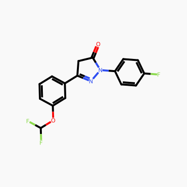 O=C1CC(c2cccc(OC(F)F)c2)=NN1c1ccc(F)cc1